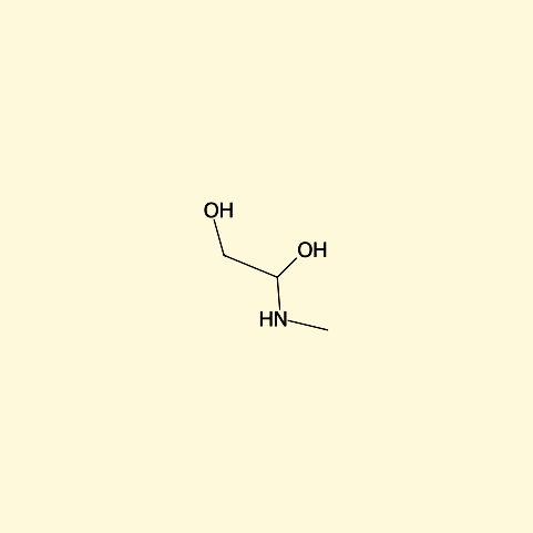 CNC(O)CO